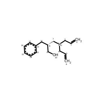 C=CCN(CC=C)C[C@H](CO)Cc1ccccc1